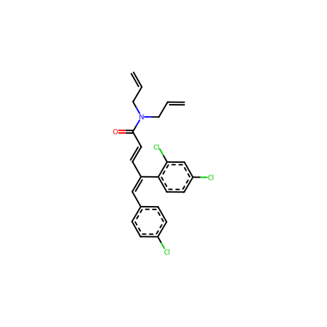 C=CCN(CC=C)C(=O)C=CC(=Cc1ccc(Cl)cc1)c1ccc(Cl)cc1Cl